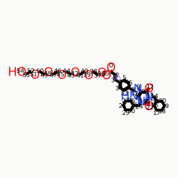 O=C(/C=C/c1ccc(-c2nc3c(=O)n(CC4CCCCC4)c(=O)n(CC4CCCCC4)c3[nH]2)cc1)OOCCOCCOCCOCCOCCOCCO